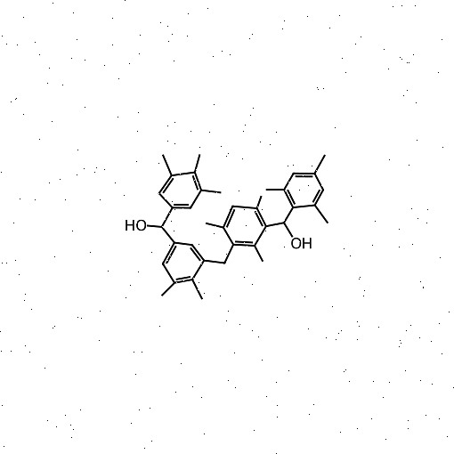 Cc1cc(C)c(C(O)c2c(C)cc(C)c(Cc3cc(C(O)c4cc(C)c(C)c(C)c4)cc(C)c3C)c2C)c(C)c1